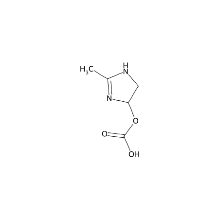 CC1=NC(OC(=O)O)CN1